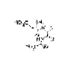 CC[C@H](C)[C@H](NC(=O)[C@@H]1CCCN1C(=O)[C@@H](N)CC(=O)O)C(=O)O